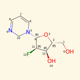 OC[C@H]1O[C@@H](N2C=CC=NC2)[C@H](F)[C@@H]1O